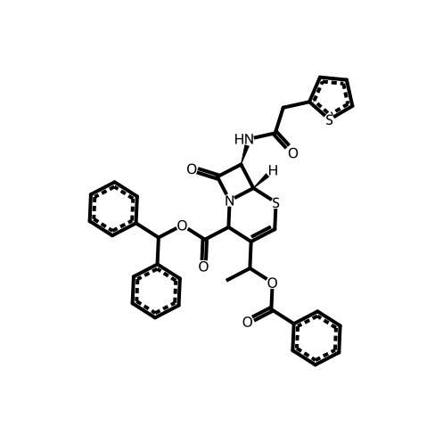 CC(OC(=O)c1ccccc1)C1=CS[C@H]2[C@H](NC(=O)Cc3cccs3)C(=O)N2C1C(=O)OC(c1ccccc1)c1ccccc1